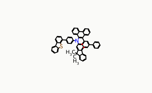 CC1(C)c2ccccc2-c2ccc(N(c3ccc(-c4cccc5c4sc4ccccc45)cc3)c3c(-c4cccc(-c5ccccc5)c4)c4ccccc4c4ccccc34)cc21